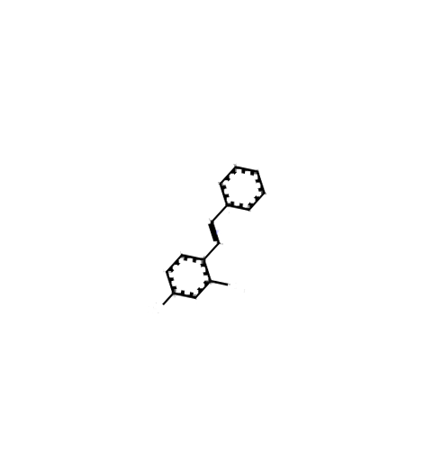 Cc1cc(O)ccc1/C=C/c1ccccc1